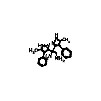 Cc1[nH]nc(C(N)(CN)c2n[nH]c(C)c2-c2ccccc2)c1-c1ccccc1